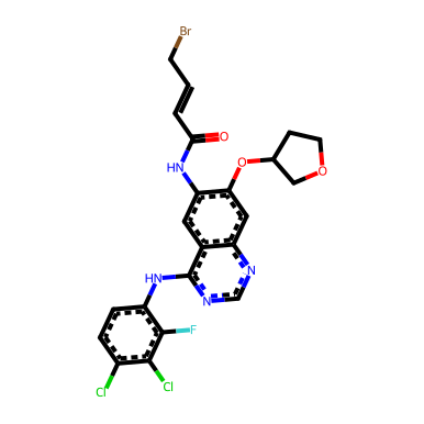 O=C(C=CCBr)Nc1cc2c(Nc3ccc(Cl)c(Cl)c3F)ncnc2cc1OC1CCOC1